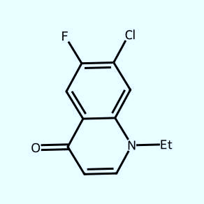 CCn1ccc(=O)c2cc(F)c(Cl)cc21